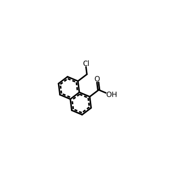 O=C(O)c1cccc2cccc(CCl)c12